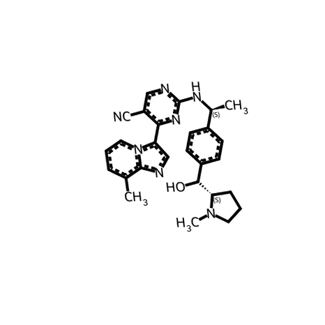 Cc1cccn2c(-c3nc(N[C@@H](C)c4ccc(C(O)[C@@H]5CCCN5C)cc4)ncc3C#N)cnc12